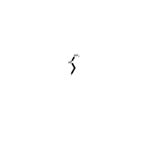 PPCI